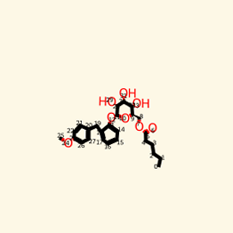 CCCCCC(=O)OC[C@H]1O[C@H](Oc2ccccc2Cc2ccc(OC)cc2)[C@H](O)[C@@H](O)[C@@H]1O